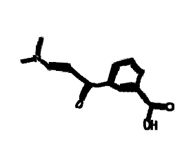 CN(C)/C=C/C(=O)c1cccc(C(=O)O)c1